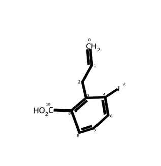 C=CCc1c(I)cccc1C(=O)O